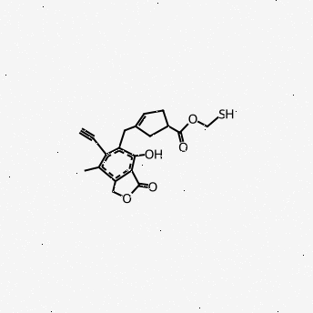 C#Cc1c(C)c2c(c(O)c1CC1=CCC(C(=O)OCS)C1)C(=O)OC2